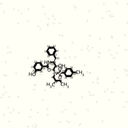 CC[C@H](C)CN(C[C@@H](O)[C@H](Cc1ccccc1)NC(=O)c1cccc(O)c1)S(=O)(=O)c1ccc(C)cc1